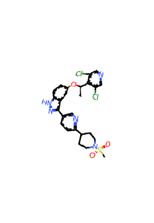 C[C@@H](Oc1ccc2[nH]nc(-c3ccc(C4CCN(S(C)(=O)=O)CC4)nc3)c2c1)c1c(Cl)cncc1Cl